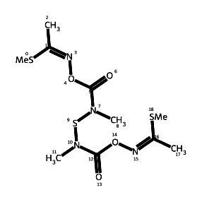 CS/C(C)=N\OC(=O)N(C)SN(C)C(=O)O/N=C(/C)SC